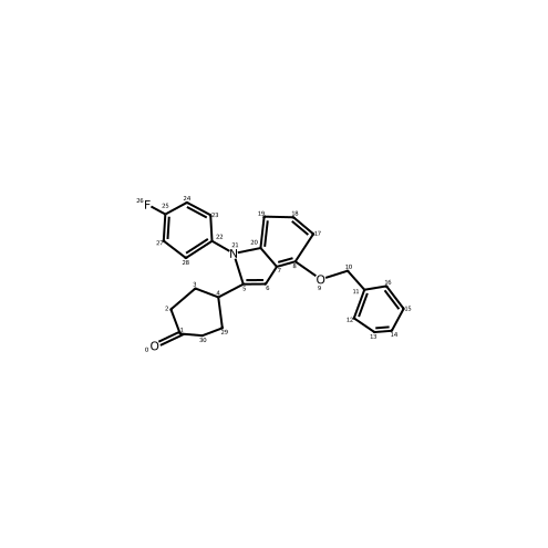 O=C1CCC(c2cc3c(OCc4ccccc4)cccc3n2-c2ccc(F)cc2)CC1